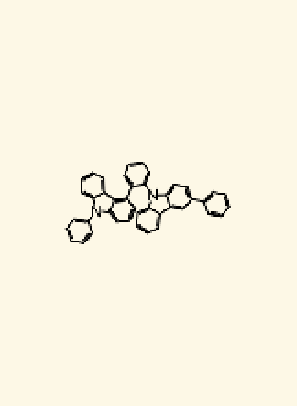 c1ccc(-c2ccc3c(c2)c2ccccc2n3-c2ccccc2-c2cccc3c2c2ccccc2n3-c2ccccc2)cc1